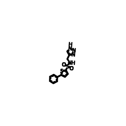 O=S(=O)(NCc1c[nH]nn1)c1ccc(-c2ccccc2)s1